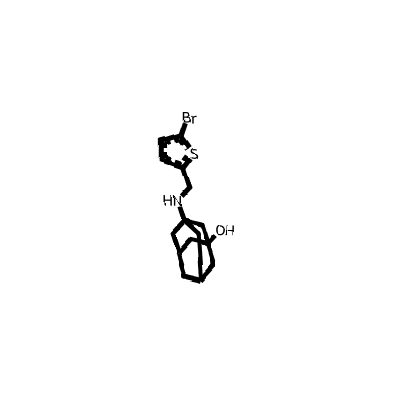 OC12CC3CC(C1)CC(NCc1ccc(Br)s1)(C3)C2